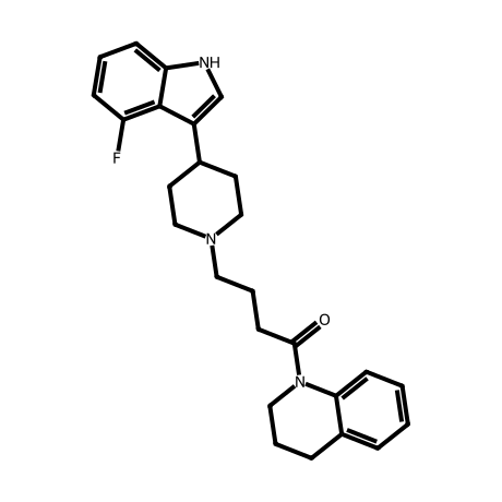 O=C(CCCN1CCC(c2c[nH]c3cccc(F)c23)CC1)N1CCCc2ccccc21